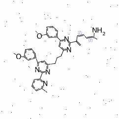 C=C(/C=C\C=C(\C)N)c1nc(CCCc2cc(-c3cccc(OC)c3)nc(-c3cccc(C)n3)n2)cc(-c2cccc(OC)c2)n1